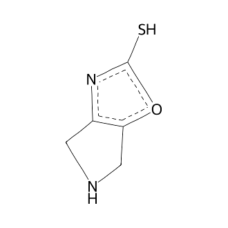 Sc1nc2c(o1)CNC2